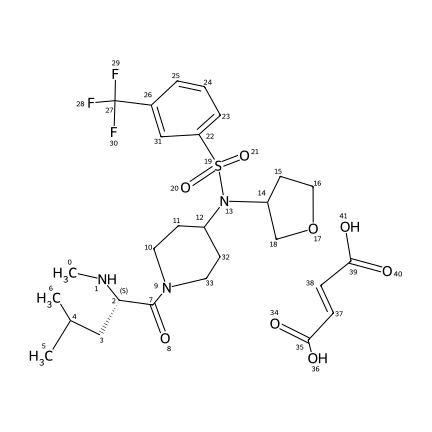 CN[C@@H](CC(C)C)C(=O)N1CCC(N(C2CCOC2)S(=O)(=O)c2cccc(C(F)(F)F)c2)CC1.O=C(O)C=CC(=O)O